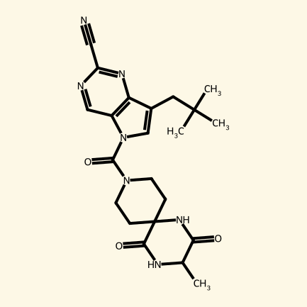 CC1NC(=O)C2(CCN(C(=O)n3cc(CC(C)(C)C)c4nc(C#N)ncc43)CC2)NC1=O